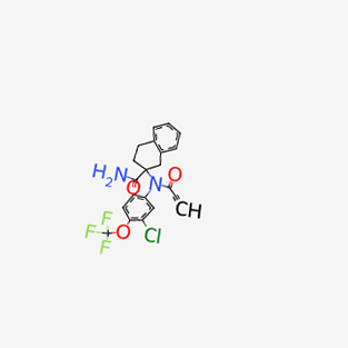 C#CC(=O)N(c1ccc(OC(F)(F)F)c(Cl)c1)C1(C(N)=O)CCc2ccccc2C1